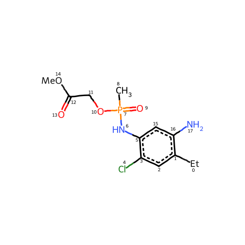 CCc1cc(Cl)c(NP(C)(=O)OCC(=O)OC)cc1N